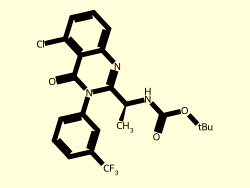 C[C@H](NC(=O)OC(C)(C)C)c1nc2cccc(Cl)c2c(=O)n1-c1cccc(C(F)(F)F)c1